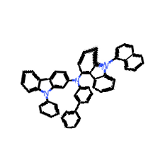 c1ccc(-c2cccc(N(c3ccc4c5ccccc5n(-c5ccccc5)c4c3)c3cccc4c3c3ccccc3n4-c3cccc4ccccc34)c2)cc1